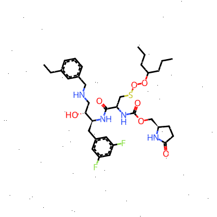 CCCC(CCC)OOSCC(NC(=O)OC[C@H]1CCC(=O)N1)C(=O)N[C@@H](Cc1cc(F)cc(F)c1)[C@H](O)CNCc1cccc(CC)c1